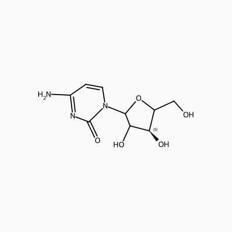 Nc1ccn(C2OC(CO)[C@@H](O)C2O)c(=O)n1